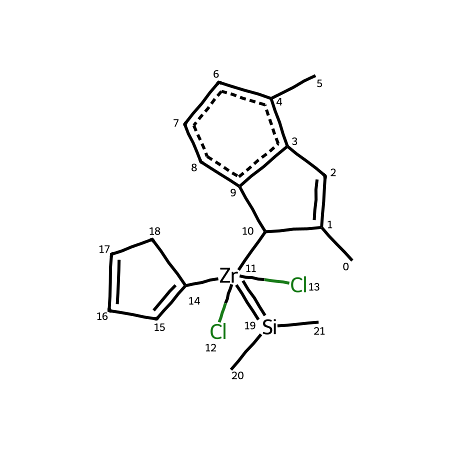 CC1=Cc2c(C)cccc2[CH]1[Zr]([Cl])([Cl])([C]1=CC=CC1)=[Si](C)C